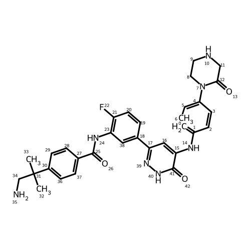 C=C(/C=C\C(=C/C)N1CCNCC1=O)Nc1cc(-c2ccc(F)c(NC(=O)c3ccc(C(C)(C)CN)cc3)c2)n[nH]c1=O